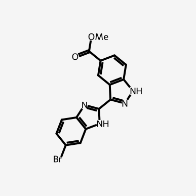 COC(=O)c1ccc2[nH]nc(-c3nc4ccc(Br)cc4[nH]3)c2c1